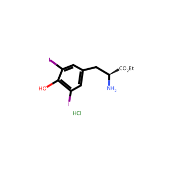 CCOC(=O)[C@@H](N)Cc1cc(I)c(O)c(I)c1.Cl